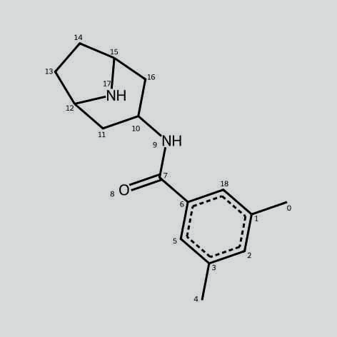 Cc1cc(C)cc(C(=O)NC2CC3CCC(C2)N3)c1